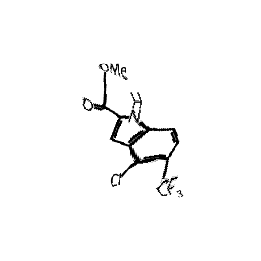 COC(=O)c1cc2c(Cl)c(C(F)(F)F)ccc2[nH]1